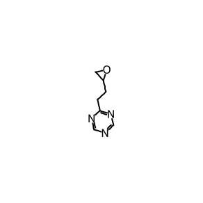 c1ncnc(CCC2CO2)n1